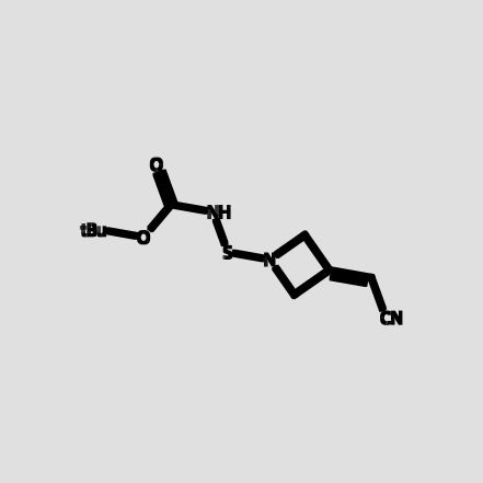 CC(C)(C)OC(=O)NSN1CC(=CC#N)C1